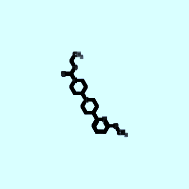 CCOC(=O)N1CCC(N2CCC(c3cccc(OC)n3)CC2)CC1